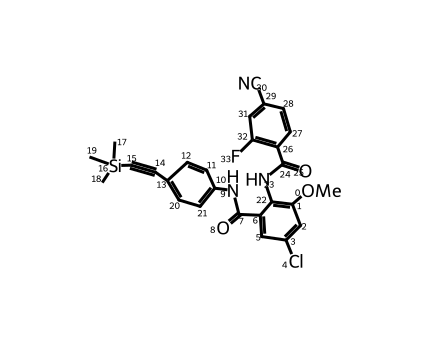 COc1cc(Cl)cc(C(=O)Nc2ccc(C#C[Si](C)(C)C)cc2)c1NC(=O)c1ccc(C#N)cc1F